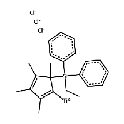 CC[Si](c1ccccc1)(c1ccccc1)C1(C)C(C)=C(C)C(C)=[C]1[Ti+3].[Cl-].[Cl-].[Cl-]